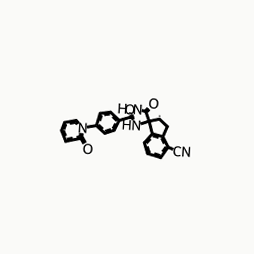 N#Cc1cccc2c1C[CH]C2(NC(=O)c1ccc(-n2ccccc2=O)cc1)C(N)=O